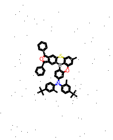 Cc1cc2c3c(c1)Sc1cc4c(-c5ccccc5)oc(-c5ccccc5)c4cc1B3c1ccc(N(c3ccc(C(C)(C)C)cc3C)c3ccc(C(C)(C)C)cc3C)cc1O2